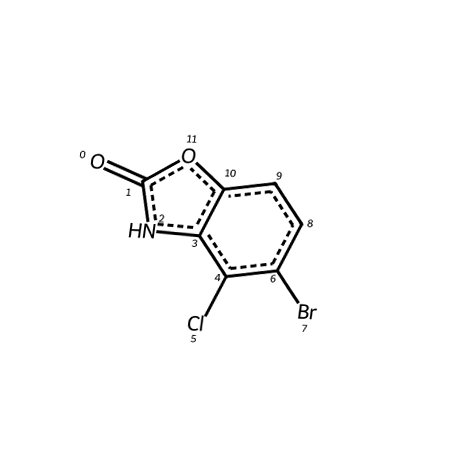 O=c1[nH]c2c(Cl)c(Br)ccc2o1